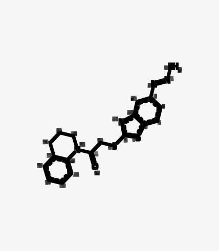 BN=Nc1ccc2sc(SCC(=O)N3CCCc4ccccc43)nc2c1